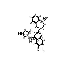 Cc1ccc2nc(N3CC[S+]([O-])c4ccccc4C3)nc(N[C@@H]3CNC[C@H]3F)c2c1